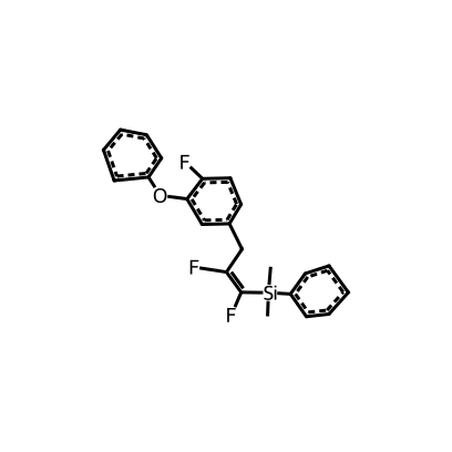 C[Si](C)(C(F)=C(F)Cc1ccc(F)c(Oc2ccccc2)c1)c1ccccc1